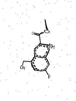 COC(=O)c1cc2c(CO)cc(F)cc2[nH]1